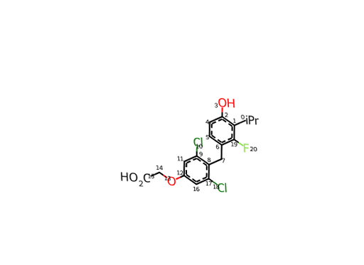 CC(C)c1c(O)ccc(Cc2c(Cl)cc(OCC(=O)O)cc2Cl)c1F